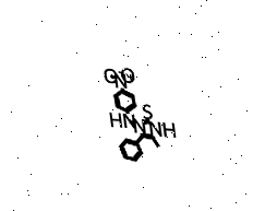 Cc1[nH]c(=S)n(Nc2ccc([N+](=O)[O-])cc2)c1-c1ccccc1